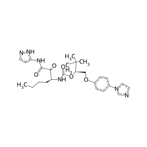 CCCC[C@H](NC(=O)O[C@H](COc1ccc(-n2ccnc2)cc1)C(C)(C)C)C(=O)C(=O)Nc1ccn[nH]1